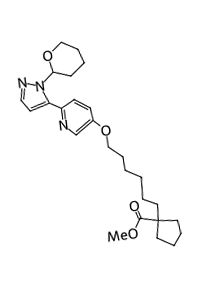 COC(=O)C1(CCCCCCOc2ccc(-c3ccnn3C3CCCCO3)nc2)CCCC1